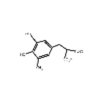 CCCCCCCCC(Cc1cc(C)c(O)c(C(C)(C)C)c1)C(=O)O